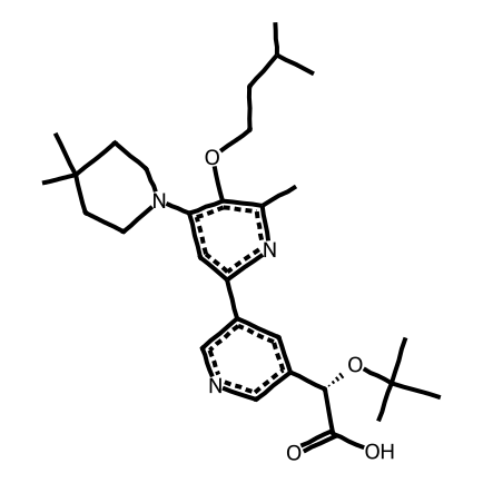 Cc1nc(-c2cncc([C@H](OC(C)(C)C)C(=O)O)c2)cc(N2CCC(C)(C)CC2)c1OCCC(C)C